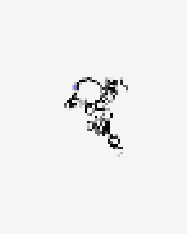 COc1ccc(-c2cc(OC3CC4C(=O)NC5([C]=O)CC5/C=C/CCCCN(C(N)=O)C(=O)C4C3)nc(OC)n2)cc1